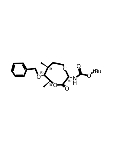 C[C@@H]1OC(=O)[C@@H](NC(=O)OC(C)(C)C)CCC[C@H](C)[C@H]1OCc1ccccc1